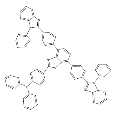 c1ccc(N(c2ccccc2)c2ccc(-c3nc4c(-c5ccc(-c6nc7ccccc7n6-c6ccccc6)cc5)ccc(-c5ccc(-c6nc7ccccc7n6-c6ccccc6)cc5)c4s3)cc2)cc1